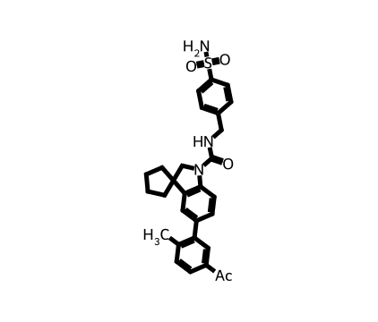 CC(=O)c1ccc(C)c(-c2ccc3c(c2)C2(CCCC2)CN3C(=O)NCc2ccc(S(N)(=O)=O)cc2)c1